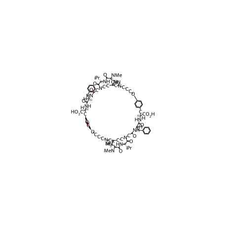 CN[C@@H](C)C(=O)N[C@H](C(=O)N1CCc2cn(nn2)CCCOc2ccc(cc2)C[C@@H](C(=O)O)NC(=O)[C@H](Cc2ccccc2)NC(=O)CN(C(=O)[C@@H](NC(=O)[C@H](C)NC)C(C)C)CCc2cn(nn2)CCCOc2ccc(cc2)C[C@@H](C(=O)O)NC(=O)[C@H](Cc2ccccc2)NC(=O)C1)C(C)C